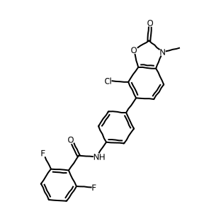 Cn1c(=O)oc2c(Cl)c(-c3ccc(NC(=O)c4c(F)cccc4F)cc3)ccc21